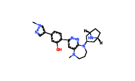 CN1CCCN([C@@H]2C[C@H]3CC[C@@H](C2)N3)c2nnc(-c3ccc(-c4cnn(C)c4)cc3O)cc21